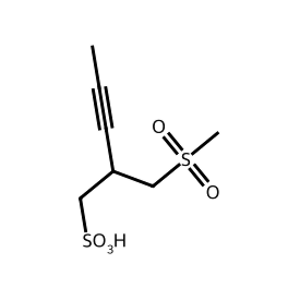 CC#CC(CS(C)(=O)=O)CS(=O)(=O)O